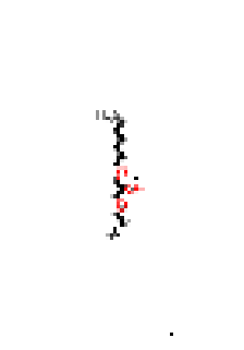 CCCCCCCOCC(O)COCCC